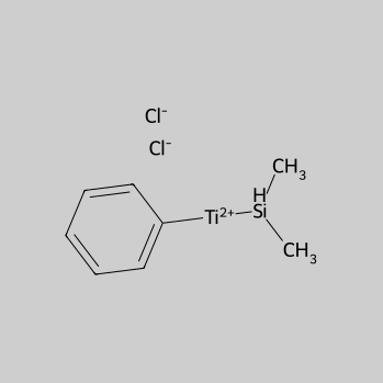 C[SiH](C)[Ti+2][c]1ccccc1.[Cl-].[Cl-]